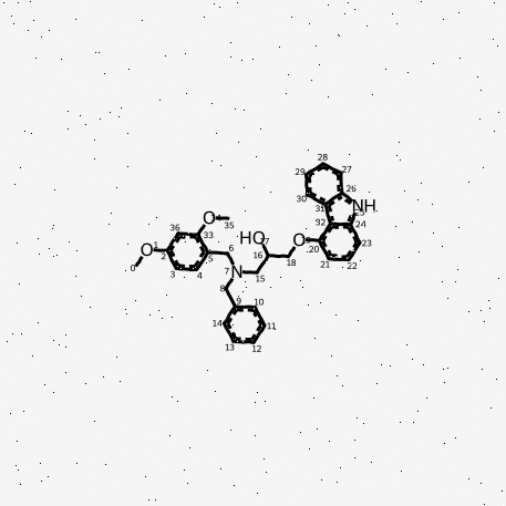 COc1ccc(CN(Cc2ccccc2)CC(O)COc2cccc3[nH]c4ccccc4c23)c(OC)c1